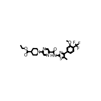 CCOC(=O)C1CCN(c2cnc(C(=O)Nc3nc(-c4ccc(C(F)(F)F)c(OC)c4)c(C)s3)cn2)CC1